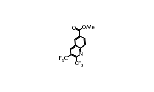 COC(=O)c1ccc2nc(C(F)(F)F)c(C(F)(F)F)cc2c1